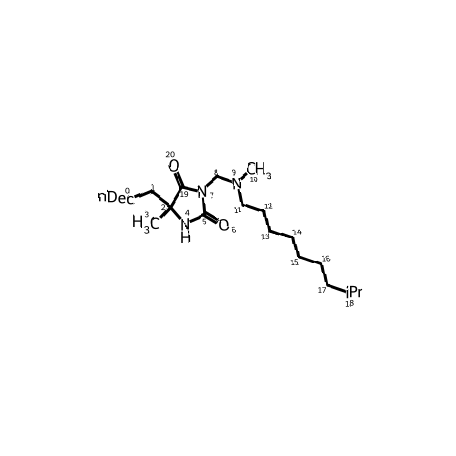 CCCCCCCCCCCC1(C)NC(=O)N(CN(C)CCCCCCCC(C)C)C1=O